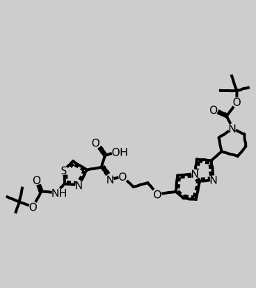 CC(C)(C)OC(=O)Nc1nc(/C(=N/OCCOc2ccc3nc(C4CCCN(C(=O)OC(C)(C)C)C4)cn3c2)C(=O)O)cs1